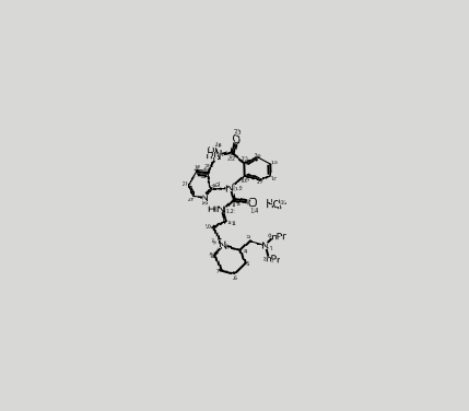 CCCN(CCC)CC1CCCCN1CCNC(=O)N1c2ccccc2C(=O)Nc2cccnc21.Cl